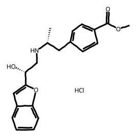 COC(=O)c1ccc(C[C@@H](C)NC[C@@H](O)c2cc3ccccc3o2)cc1.Cl